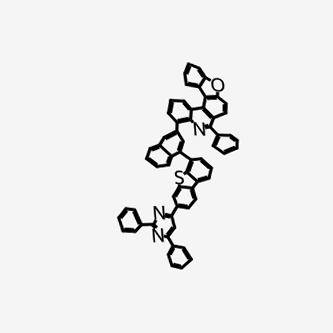 c1ccc(-c2cc(-c3ccc4c(c3)sc3c(-c5cc(-c6cccc7c6nc(-c6ccccc6)c6ccc8oc9ccccc9c8c67)cc6ccccc56)cccc34)nc(-c3ccccc3)n2)cc1